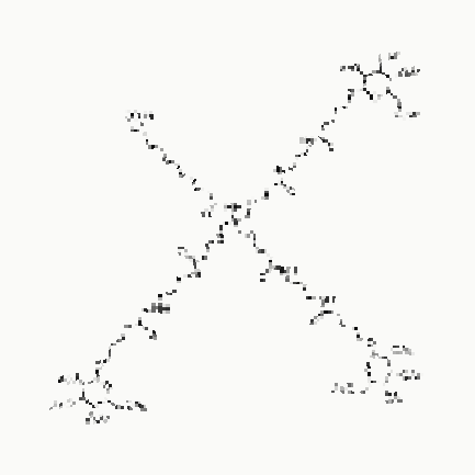 CC(=O)OCC1O[C@H](OCCCCC(=O)CNCCCNC(=O)CCOCC(COCCC(=O)NCCCNC(=O)CCCCO[C@H]2OC(COC(C)=O)[C@@H](OC(C)=O)C(OC(C)=O)C2OC(C)=O)(COCCC(=O)NCCCNC(=O)CCCCO[C@H]2OC(COC(C)=O)[C@@H](OC(C)=O)C(OC(C)=O)[C@H]2OC(C)=O)NC(=O)CCCCCCCCCCC(=O)O)C(OC(C)=O)C(OC(C)=O)[C@@H]1OC(C)=O